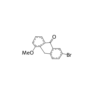 COc1cccc2c1Cc1ccc(Br)cc1C2=O